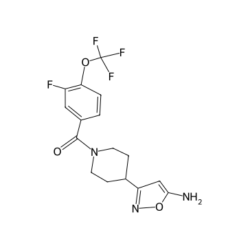 Nc1cc(C2CCN(C(=O)c3ccc(OC(F)(F)F)c(F)c3)CC2)no1